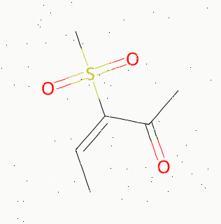 C/C=C(\C(C)=O)S(C)(=O)=O